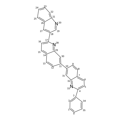 c1ccc(-c2ccc3ccc(-c4ccc5ccc(-c6cnc7ccccc7c6)nc5c4)cc3n2)cc1